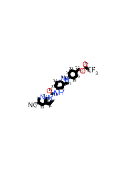 N#Cc1cnc2c(ccn2C(=O)Nc2ccc3nn(C4CCC(COC(=O)C(F)(F)F)CC4)cc3c2)c1